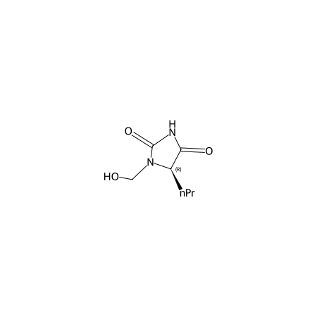 CCC[C@@H]1C(=O)NC(=O)N1CO